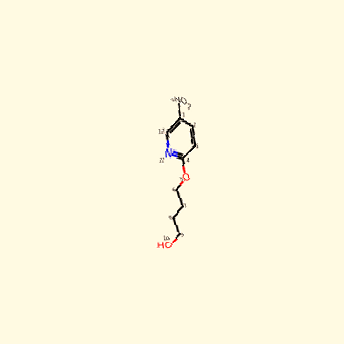 O=[N+]([O-])c1ccc(OCCCCO)nc1